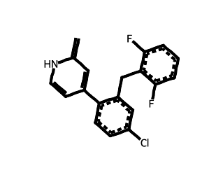 C=C1C=C(c2ccc(Cl)cc2Cc2c(F)cccc2F)C=CN1